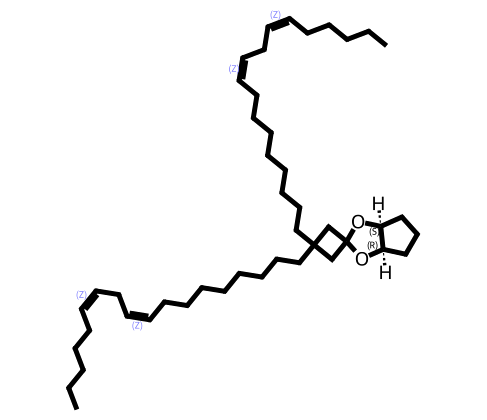 CCCCC/C=C\C/C=C\CCCCCCCCC1(CCCCCCCC/C=C\C/C=C\CCCCC)CC2(C1)O[C@H]1CCC[C@H]1O2